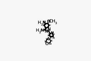 COc1cc2nc(-c3cc(N4CCOCC4)ccn3)nc(N)c2cc1N